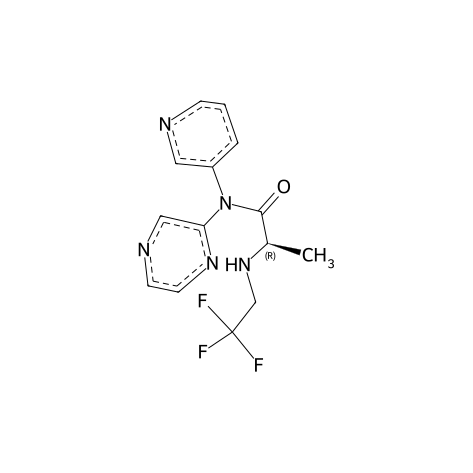 C[C@@H](NCC(F)(F)F)C(=O)N(c1cccnc1)c1cnccn1